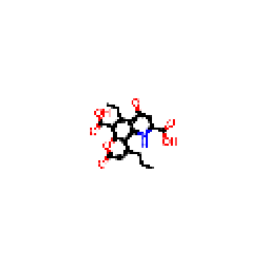 CCCc1cc(=O)oc2c(C(=O)O)c(CC)c3c(=O)cc(C(=O)O)[nH]c3c12